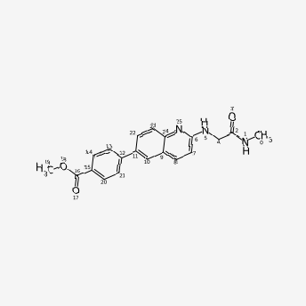 CNC(=O)CNc1ccc2cc(-c3ccc(C(=O)OC)cc3)ccc2n1